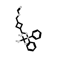 CC(C)(C)[Si](OCC1CC(COC=O)C1)(c1ccccc1)c1ccccc1